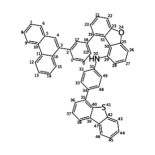 c1cc(-c2cc3ccccc3c3ccccc23)cc(-c2cccc3oc4cccc(Nc5ccc(-c6cccc7c6sc6ccccc67)cc5)c4c23)c1